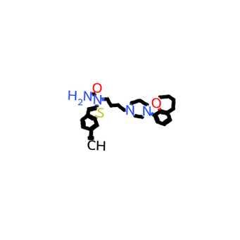 C#Cc1ccc2cc(N(CCCCN3CCCN(c4cccc5c4OCCCC5)CC3)C(N)=O)sc2c1